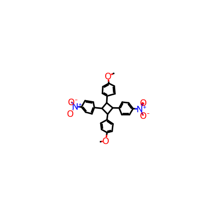 COc1ccc(C2C(c3ccc([N+](=O)[O-])cc3)C(c3ccc(OC)cc3)C2c2ccc([N+](=O)[O-])cc2)cc1